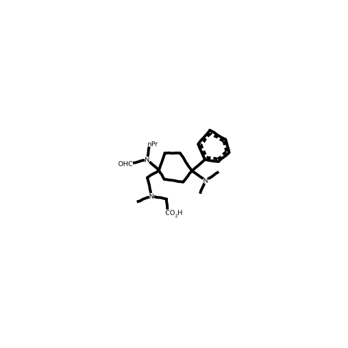 CCCN(C=O)C1(CN(C)CC(=O)O)CCC(c2ccccc2)(N(C)C)CC1